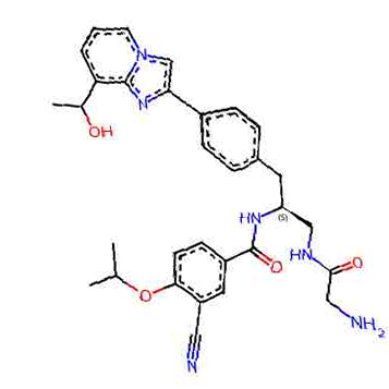 CC(C)Oc1ccc(C(=O)N[C@H](CNC(=O)CN)Cc2ccc(-c3cn4cccc(C(C)O)c4n3)cc2)cc1C#N